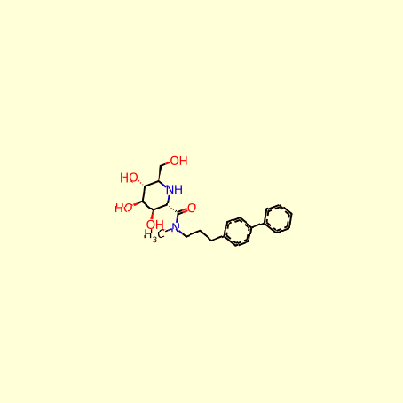 CN(CCCc1ccc(-c2ccccc2)cc1)C(=O)[C@H]1N[C@H](CO)[C@@H](O)[C@H](O)[C@@H]1O